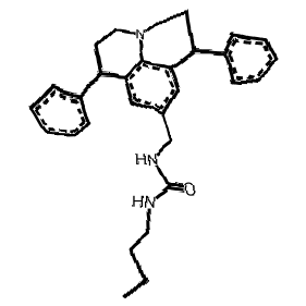 CCCCNC(=O)NCc1cc2c3c(c1)C(c1ccccc1)CCN3CCC2c1ccccc1